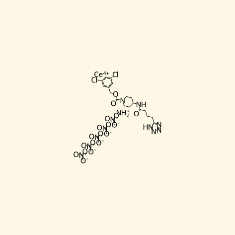 O=C(CCCc1nnn[nH]1)NC1CCN(C(=O)OCc2cc(Cl)cc(Cl)c2)CC1.O=[N+]([O-])[O-].O=[N+]([O-])[O-].O=[N+]([O-])[O-].O=[N+]([O-])[O-].O=[N+]([O-])[O-].[Ce+4].[NH4+]